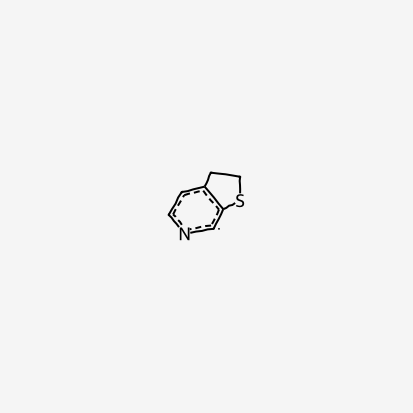 [c]1nccc2c1SCC2